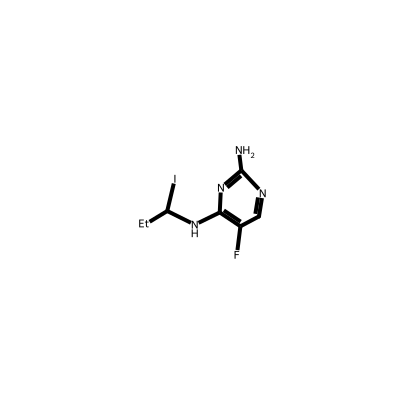 CCC(I)Nc1nc(N)ncc1F